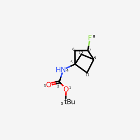 CC(C)(C)OC(=O)NC12CC(F)C(C1)C2